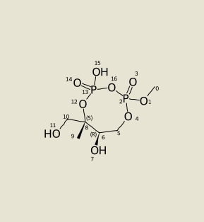 COP1(=O)OC[C@@H](O)[C@](C)(CO)OP(=O)(O)O1